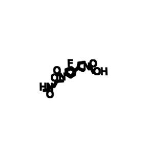 CC(=O)NCC1CN(c2ccc(C3CCN(C(=O)CO)C3)c(F)c2)C(=O)O1